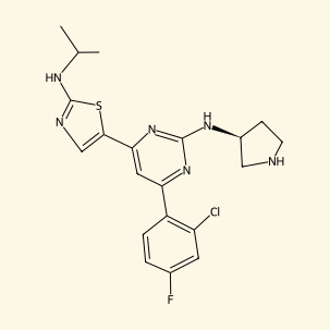 CC(C)Nc1ncc(-c2cc(-c3ccc(F)cc3Cl)nc(N[C@H]3CCNC3)n2)s1